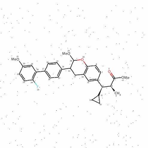 COC(=O)[C@@H](C)[C@H](c1ccc2c(c1)CC(c1ccc(-c3cc(OC)ccc3F)cc1)C(OC)O2)C1CC1